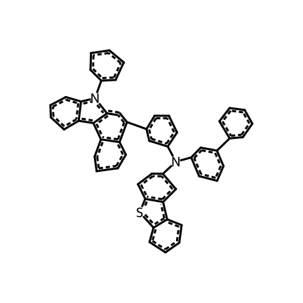 c1ccc(-c2cccc(N(c3cccc(-c4cc5c(c6ccccc46)c4ccccc4n5-c4ccccc4)c3)c3ccc4sc5ccccc5c4c3)c2)cc1